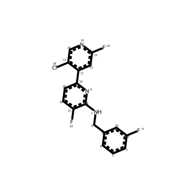 Fc1cccc(CNc2nc(-c3cc(F)ncc3Cl)ccc2F)c1